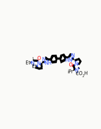 CCN(CC)[C@H](C)C(=O)N1CCC[C@H]1c1ncc(-c2ccc(-c3ccc(-c4cnc([C@@H]5CCCN5C(=O)[C@H](C(C)C)N(C)C(=O)O)[nH]4)cc3)cc2)[nH]1